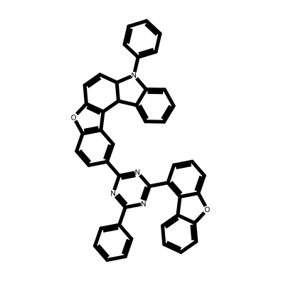 C1=CC2C(c3ccccc3N2c2ccccc2)c2c1oc1ccc(-c3nc(-c4ccccc4)nc(-c4cccc5oc6ccccc6c45)n3)cc21